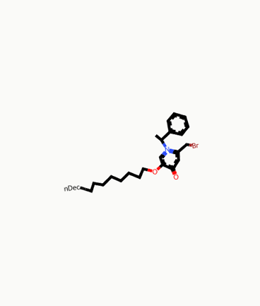 CCCCCCCCCCCCCCCCCCOc1cn(C(C)c2ccccc2)c(CBr)cc1=O